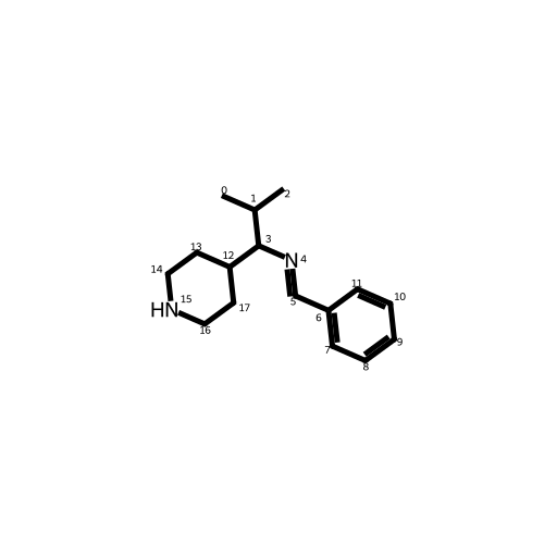 CC(C)C(N=Cc1ccccc1)C1CCNCC1